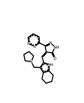 O=C1NN=C(c2cccnn2)C1=Cc1[nH]c2c(c1CN1CCCC1)CCCC2